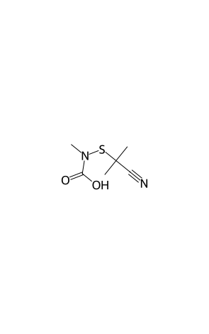 CN(SC(C)(C)C#N)C(=O)O